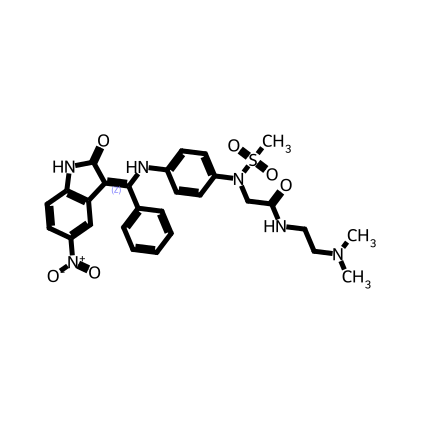 CN(C)CCNC(=O)CN(c1ccc(N/C(=C2\C(=O)Nc3ccc([N+](=O)[O-])cc32)c2ccccc2)cc1)S(C)(=O)=O